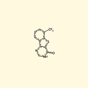 O=c1[nH]cnc2c1sc1c(C(F)(F)F)cccc12